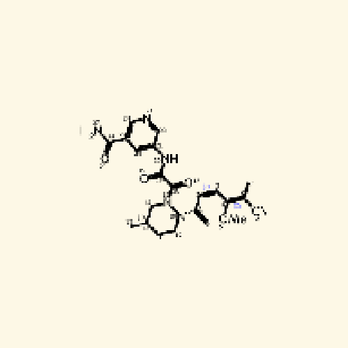 C=C(/C=C\C(OC)=C(/C)C#N)[C@@H]1CC[C@@H](C)CN1C(=O)C(=O)Nc1cncc(C(N)=O)c1